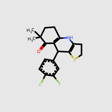 CC1(C)CCC2=C(C1=O)C(c1ccc(F)c(F)c1)C1=C(CCS1)N2